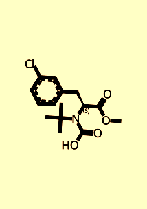 COC(=O)[C@H](Cc1cccc(Cl)c1)N(C(=O)O)C(C)(C)C